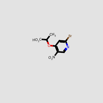 CC(Oc1cc(Br)ncc1[N+](=O)[O-])C(=O)O